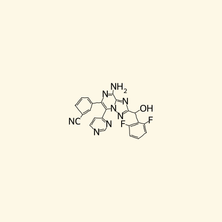 N#Cc1cccc(-c2nc(N)c3nc(C(O)c4c(F)cccc4F)nn3c2-c2ccncn2)c1